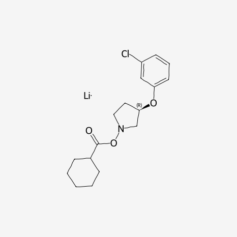 O=C(ON1CC[C@@H](Oc2cccc(Cl)c2)C1)C1CCCCC1.[Li]